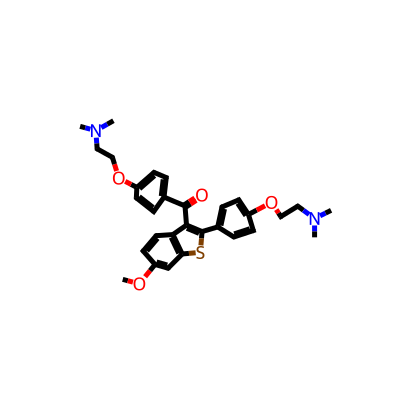 COc1ccc2c(C(=O)c3ccc(OCCN(C)C)cc3)c(-c3ccc(OCCN(C)C)cc3)sc2c1